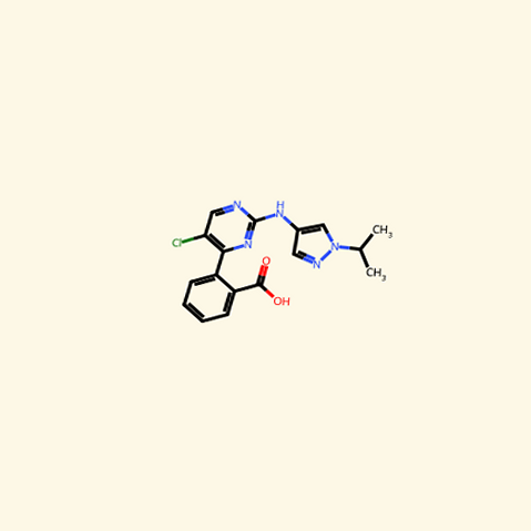 CC(C)n1cc(Nc2ncc(Cl)c(-c3ccccc3C(=O)O)n2)cn1